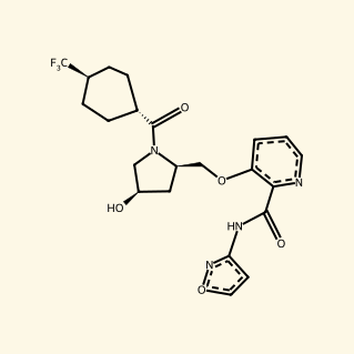 O=C(Nc1ccon1)c1ncccc1OC[C@H]1C[C@@H](O)CN1C(=O)[C@H]1CC[C@H](C(F)(F)F)CC1